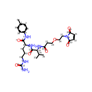 [CH2]c1ccc(NC(=O)[C@H](CCCNC(N)=O)NC(=O)[C@@H](NC(=O)CCOCCN2C(=O)C=CC2=O)C(C)C)cc1